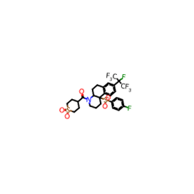 O=C(C1CCS(=O)(=O)CC1)N1CCCC2(S(=O)(=O)c3ccc(F)cc3)c3ccc(C(F)(C(F)(F)F)C(F)(F)F)cc3CCC12